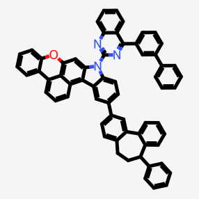 c1ccc(-c2cccc(-c3nc(-n4c5ccc(-c6ccc7c(c6)-c6ccccc6C(c6ccccc6)CC7)cc5c5c6cccc7c6c(cc54)Oc4ccccc4-7)nc4ccccc34)c2)cc1